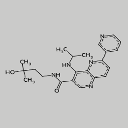 CC(C)Nc1c(C(=O)NCCC(C)(C)O)cnc2ccc(-c3cccnc3)nc12